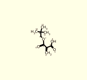 C=C(C(=O)O)C(=O)OCC(C)(C)C